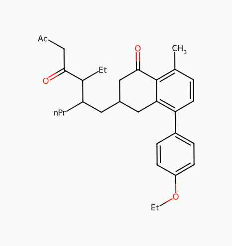 CCCC(CC1CC(=O)c2c(C)ccc(-c3ccc(OCC)cc3)c2C1)C(CC)C(=O)CC(C)=O